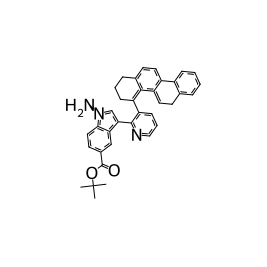 CC(C)(C)OC(=O)c1ccc2c(c1)c(-c1ncccc1C1=c3c(ccc4c3=CCc3ccccc3-4)CCC1)cn2N